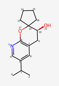 CC(C)c1cnc2c(c1)C[C@H](O)C1(CCCC1)O2